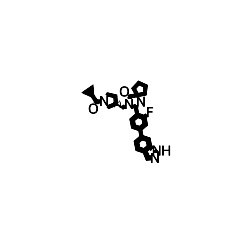 O=C(C1CC1)N1CC[C@@H](CN2C(=O)C3(CCCC3)N=C2c2ccc(-c3ccc4cn[nH]c4c3)cc2F)C1